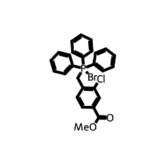 COC(=O)c1ccc(CP(Br)(c2ccccc2)(c2ccccc2)c2ccccc2)c(Cl)c1